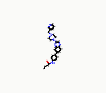 CCCC(=O)Nc1ccc(-c2ccc3ncc(N4CCN(Cc5cccnc5)CC4)nc3c2)cc1